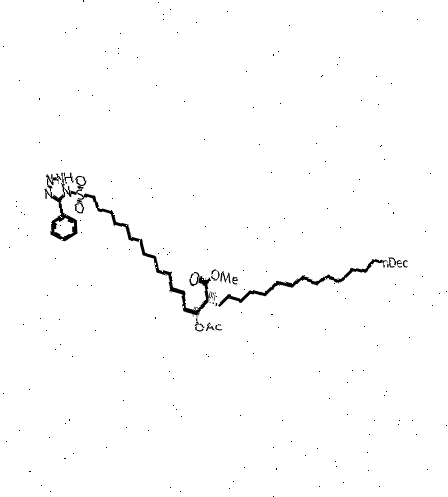 CCCCCCCCCCCCCCCCCCCCCCCC[C@@H](C(=O)OC)[C@@H](CCCCCCCCCCCCCCS(=O)(=O)N1NN=NC1c1ccccc1)OC(C)=O